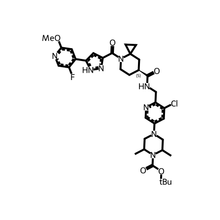 COc1cc(-c2cc(C(=O)N3CC[C@H](C(=O)NCc4ncc(N5CC(C)N(C(=O)OC(C)(C)C)C(C)C5)cc4Cl)CC34CC4)n[nH]2)c(F)cn1